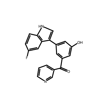 O=C(c1cccnc1)c1cc(O)cc(-c2c[nH]c3ccc(F)cc23)c1